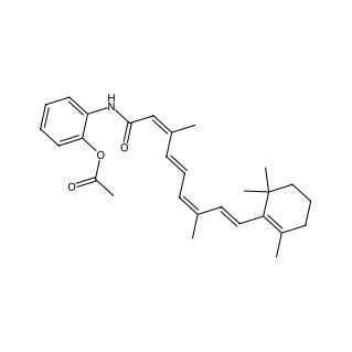 CC(=O)Oc1ccccc1NC(=O)C=C(C)C=CC=C(C)C=CC1=C(C)CCCC1(C)C